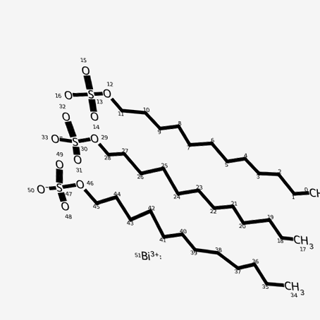 CCCCCCCCCCCCOS(=O)(=O)[O-].CCCCCCCCCCCCOS(=O)(=O)[O-].CCCCCCCCCCCCOS(=O)(=O)[O-].[Bi+3]